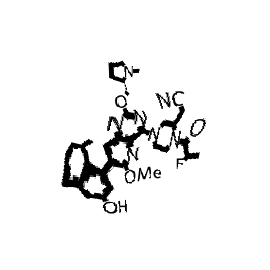 C=C(F)C(=O)N1CCN(c2nc(OC[C@@H]3CCCN3C)nc3cc(-c4cc(O)cc5cccc(C)c45)c(OC)nc23)CC1CC#N